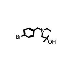 CCN(Cc1ccc(Br)cc1)CC(C)(C)O